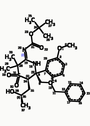 COc1ccc(F)c([C@@]2(COCc3ccccc3)N/C(=N\C(=O)OC(C)(C)C)C(C)(C)S(=O)(=O)[C@@H]2C[C@@H](C)O)c1